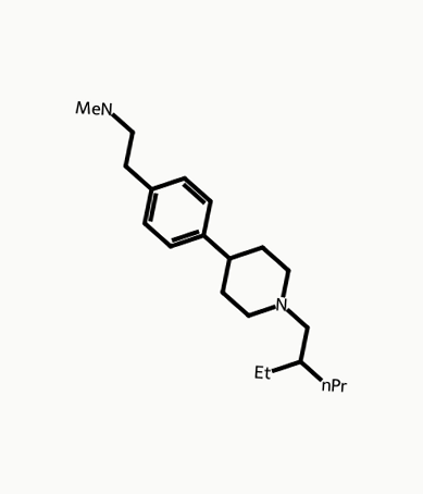 CCCC(CC)CN1CCC(c2ccc(CCNC)cc2)CC1